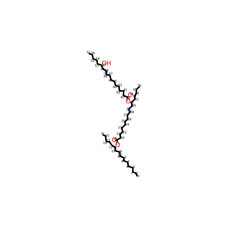 CCCCCCCC/C=C/CC(CCCCC)OC(=O)CCCCCCCC/C=C/CC(CCCCC)OC(=O)CCCCCCCC/C=C/CC(O)CCCCC